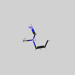 C/C=C\N(C=N)C(C)C